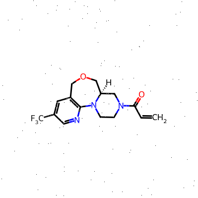 C=CC(=O)N1CCN2c3ncc(C(F)(F)F)cc3COC[C@H]2C1